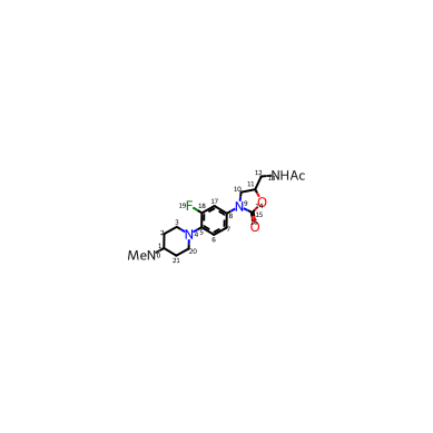 CNC1CCN(c2ccc(N3CC(CNC(C)=O)OC3=O)cc2F)CC1